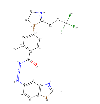 Cc1nc2cc(N=[N+]=NC(=O)c3ccc([SH]4CCN=C4CCC(F)(F)F)cc3C)ccc2s1